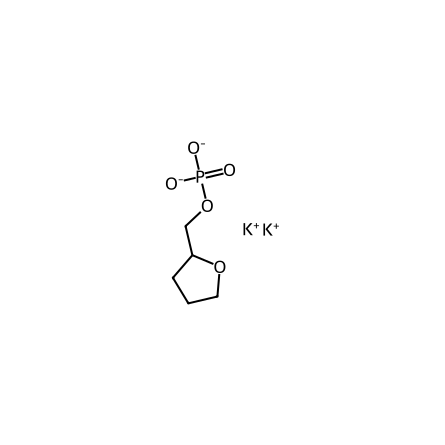 O=P([O-])([O-])OCC1CCCO1.[K+].[K+]